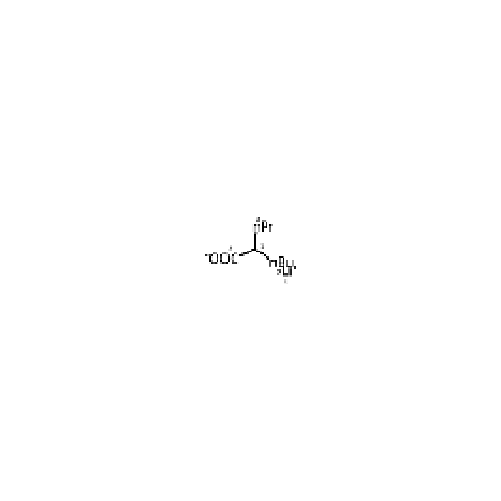 CCCCC(CCC)C(=O)[O-].[Li+]